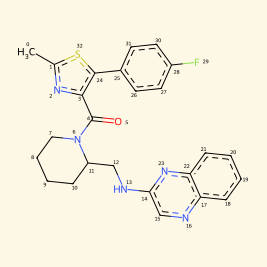 Cc1nc(C(=O)N2CCCCC2CNc2cnc3ccccc3n2)c(-c2ccc(F)cc2)s1